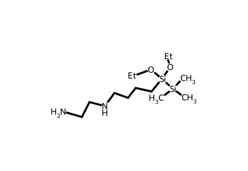 CCO[Si](CCCCNCCN)(OCC)[Si](C)(C)C